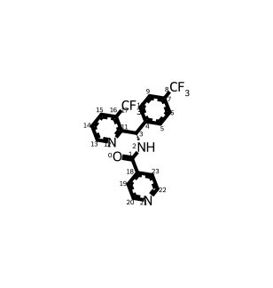 O=C(N[C@@H](c1ccc(C(F)(F)F)cc1)c1ncccc1C(F)(F)F)c1ccncc1